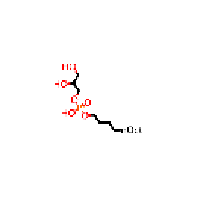 CCCCCCCCCCCCOP(=O)(O)OCC(O)CO